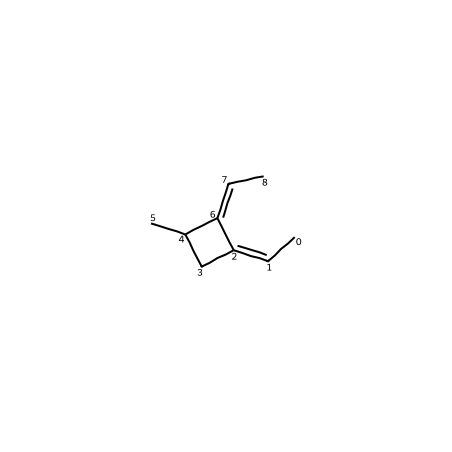 C/C=C1/CC(C)/C1=C/C